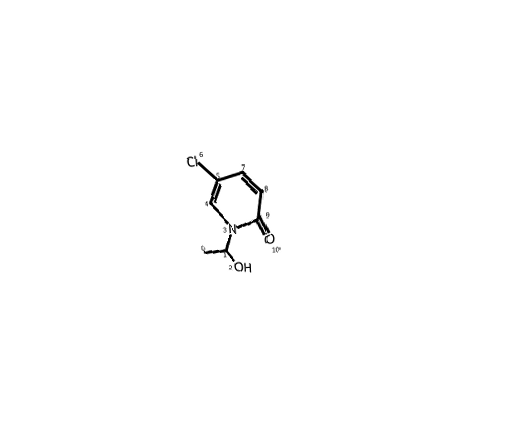 CC(O)n1cc(Cl)ccc1=O